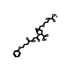 CC(=O)NCCOCC12CC(C(=O)O)N(C(=O)CNC(=O)CCCOc3ccccc3)C1C2